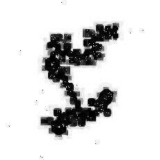 CC[C@H](C)[C@H](NC(=O)C(C)(C)N(C)C)C(=O)N(C)[C@H](C[C@@H](OC(C)=O)c1nc(C(=O)N[C@@H](Cc2ccc(O)c(NC(=O)CCOCCOCCNP(=O)(NCCN3C(=O)c4cccc(O)c4C3=O)NCCN3C(=O)c4c(c5ccc4o5)C3=O)c2)CC(C)C(=O)O)cs1)C(C)C